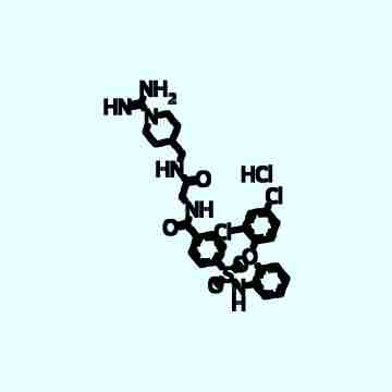 Cl.N=C(N)N1CCC(CNC(=O)CNC(=O)c2ccc(S(=O)(=O)Nc3ccccc3Oc3ccc(Cl)cc3Cl)cc2)CC1